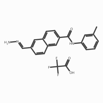 Cc1cccc(NC(=O)c2ccc3cc(C=NN)ccc3c2)c1.O=C(O)C(F)(F)F